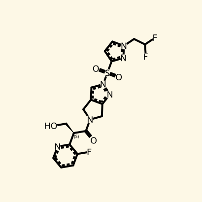 O=C([C@H](CO)c1ncccc1F)N1Cc2cn(S(=O)(=O)c3ccn(CC(F)F)n3)nc2C1